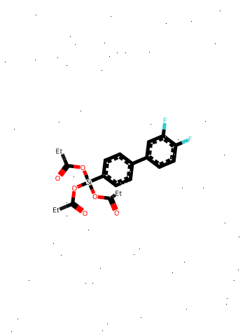 CCC(=O)O[Si](OC(=O)CC)(OC(=O)CC)c1ccc(-c2ccc(F)c(F)c2)cc1